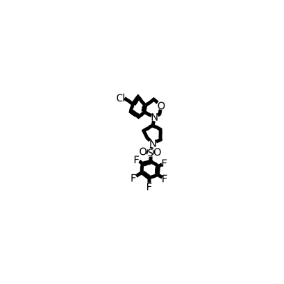 O=S(=O)(c1c(F)c(F)c(F)c(F)c1F)N1CCC(N2COCc3cc(Cl)ccc32)CC1